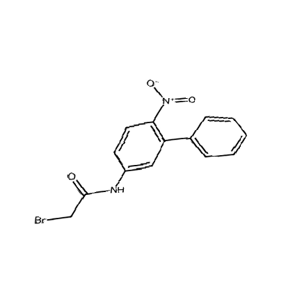 O=C(CBr)Nc1ccc([N+](=O)[O-])c(-c2ccccc2)c1